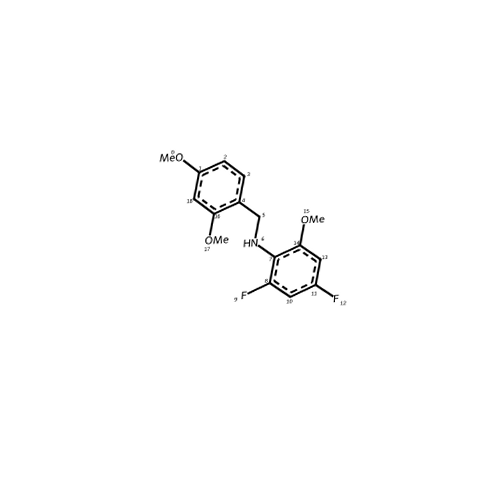 COc1ccc(CNc2c(F)cc(F)cc2OC)c(OC)c1